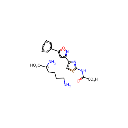 NCCCC[C@H](N)C(=O)O.O=C(O)C(=O)Nc1nc(-c2cc(-c3ccccc3)on2)cs1